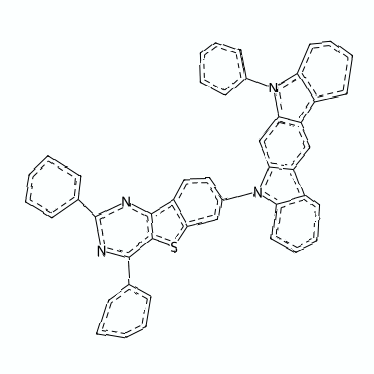 c1ccc(-c2nc(-c3ccccc3)c3sc4cc(-n5c6ccccc6c6cc7c8ccccc8n(-c8ccccc8)c7cc65)ccc4c3n2)cc1